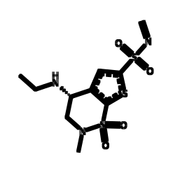 C=NS(=O)(=O)c1cc2c(s1)S(=O)(=O)N(C)C[C@@H]2NCC